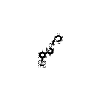 c1cc(-c2cccc(OCCN3CCCCC3)n2)cc(C2OCCO2)c1